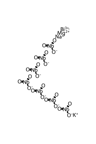 [Bi+3].[K+].[Mg+2].[Na+].[O]=[Nb](=[O])[O-].[O]=[Nb](=[O])[O-].[O]=[Nb](=[O])[O-].[O]=[Nb](=[O])[O-].[O]=[Nb](=[O])[O-].[O]=[Nb](=[O])[O-].[O]=[Nb](=[O])[O-]